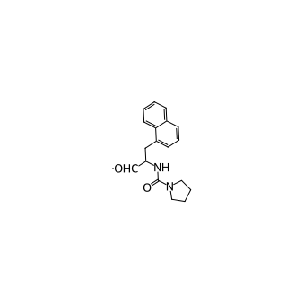 O=[C]C(Cc1cccc2ccccc12)NC(=O)N1CCCC1